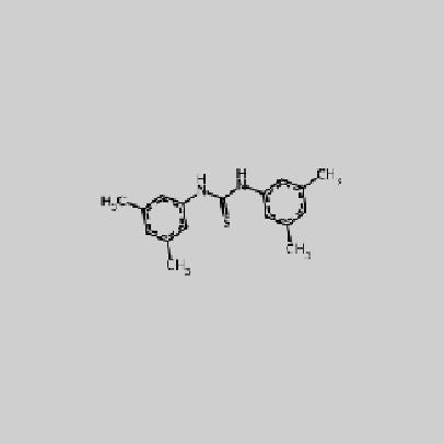 Cc1cc(C)cc(NC(=S)Nc2cc(C)cc(C)c2)c1